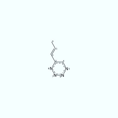 CC=Cc1cnnnn1